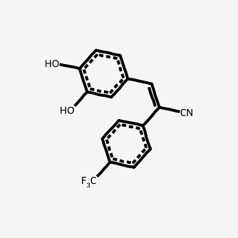 N#CC(=Cc1ccc(O)c(O)c1)c1ccc(C(F)(F)F)cc1